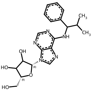 CC(C)C(Nc1ncnc2c1ncn2[C@@H]1O[C@H](CO)C(O)C1O)c1ccccc1